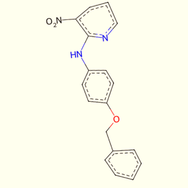 O=[N+]([O-])c1cccnc1Nc1ccc(OCc2ccccc2)cc1